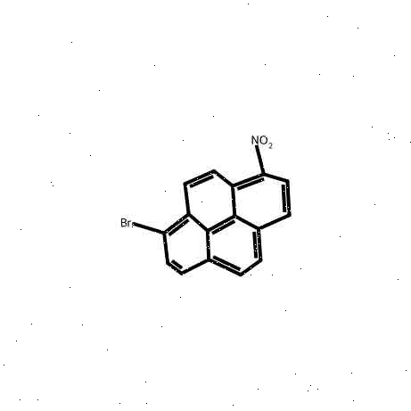 O=[N+]([O-])c1ccc2ccc3ccc(Br)c4ccc1c2c34